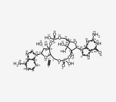 C#C[C@@]12COP(=O)(O)O[C@@H]3[C@H](O)[C@@H](COP(=O)(O)O[C@H]1[C@@H](O)[C@H](n1cnc4c(N)ncnc41)O2)O[C@H]3n1cnc2c(=O)[nH]c(N)nc21